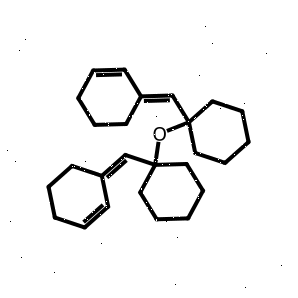 C1=CC(=CC2(OC3(C=C4C=CCCC4)CCCCC3)CCCCC2)CCC1